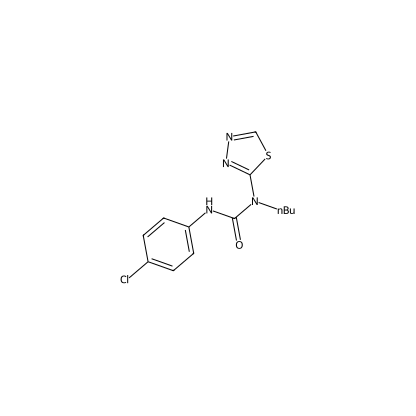 CCCCN(C(=O)Nc1ccc(Cl)cc1)c1nncs1